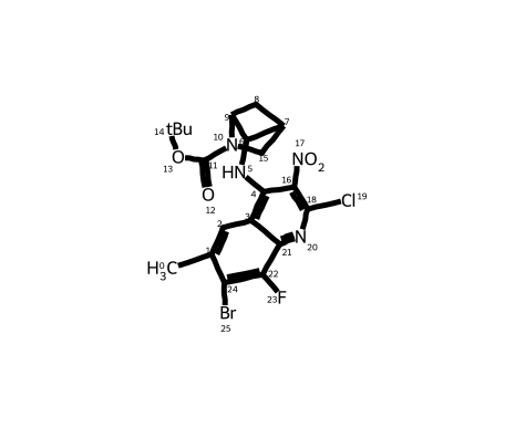 Cc1cc2c(NC3C4CC3N(C(=O)OC(C)(C)C)C4)c([N+](=O)[O-])c(Cl)nc2c(F)c1Br